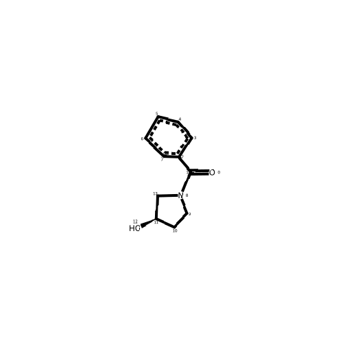 O=C(c1ccccc1)N1CC[C@@H](O)C1